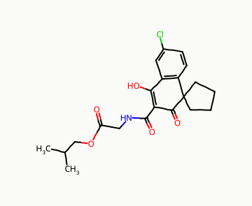 CC(C)COC(=O)CNC(=O)C1=C(O)c2cc(Cl)ccc2C2(CCCC2)C1=O